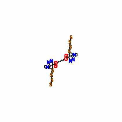 CSCCSCCSCCSC1CC(N2CCCC2)=C(C#N)/C(=C(\C#N)C(=O)OCCCCCCOC(=O)/C(C#N)=C2\CC(SCCSCCSCCSC)CC(N3CCCC3)=C2C#N)C1